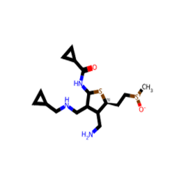 C[S+]([O-])CC[C@@H]1SC(NC(=O)C2CC2)C(CNCC2CC2)C1CN